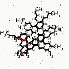 CCCCc1ccc(P(c2ccc(CCCC)c(CCCC)c2CCCC)C(CCC)P(c2ccc(CCCC)c(CCCC)c2CCCC)c2ccc(CCCC)c(CCCC)c2CCCC)c(CCCC)c1CCCC